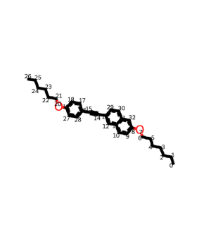 CCCCCCCOc1ccc2cc(C#Cc3ccc(OCCCCCC)cc3)ccc2c1